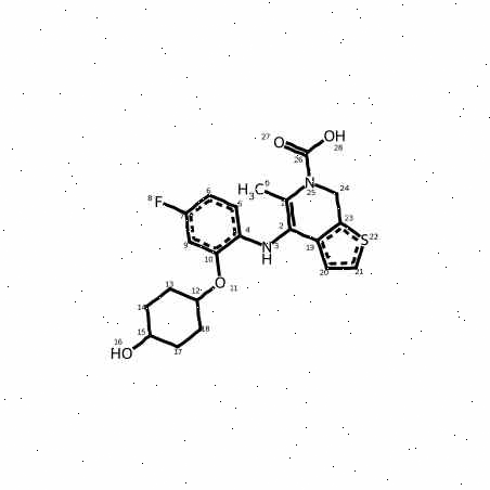 CC1=C(Nc2ccc(F)cc2OC2CCC(O)CC2)c2ccsc2CN1C(=O)O